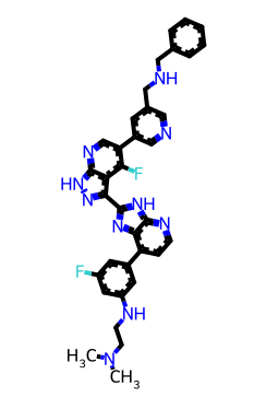 CN(C)CCNc1cc(F)cc(-c2ccnc3[nH]c(-c4n[nH]c5ncc(-c6cncc(CNCc7ccccc7)c6)c(F)c45)nc23)c1